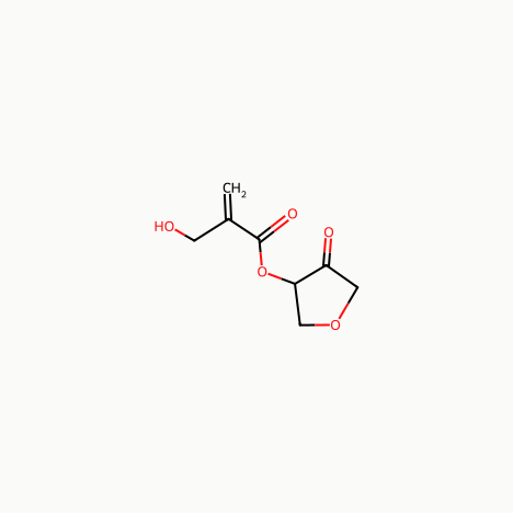 C=C(CO)C(=O)OC1COCC1=O